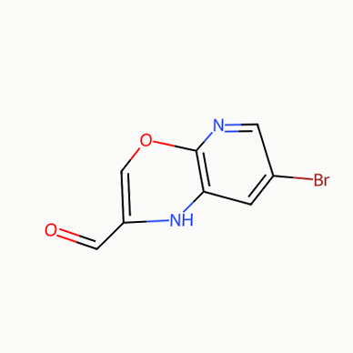 O=CC1=COc2ncc(Br)cc2N1